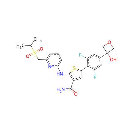 CC(C)S(=O)(=O)Cc1cccc(Nc2sc(-c3c(F)cc(C4(O)COC4)cc3F)cc2C(N)=O)n1